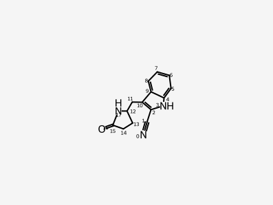 N#Cc1[nH]c2ccccc2c1CC1CCC(=O)N1